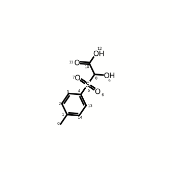 Cc1ccc(S(=O)(=O)C(O)C(=O)O)cc1